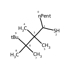 CCCCCC(S)C(C)(C)C(C)(C)C(C)(C)C